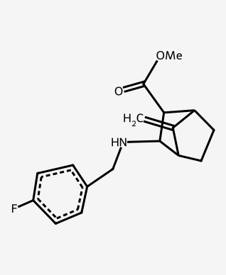 C=C1C2CCC1C(C(=O)OC)C2NCc1ccc(F)cc1